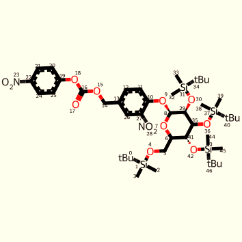 CC(C)(C)[Si](C)(C)OCC1O[C@@H](Oc2ccc(COC(=O)Oc3ccc([N+](=O)[O-])cc3)cc2[N+](=O)[O-])[C@@H](O[Si](C)(C)C(C)(C)C)C(O[Si](C)(C)C(C)(C)C)[C@@H]1O[Si](C)(C)C(C)(C)C